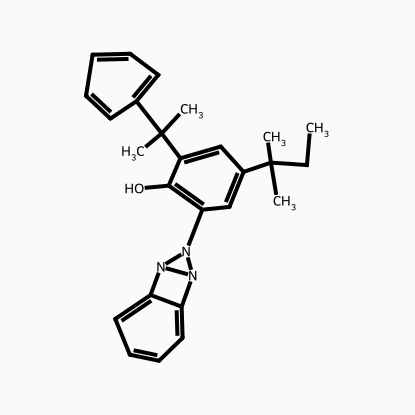 CCC(C)(C)c1cc(-n2n3c4ccccc4n23)c(O)c(C(C)(C)c2ccccc2)c1